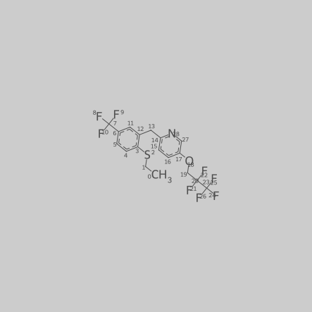 CCSc1ccc(C(F)(F)F)cc1Cc1ccc(OCC(F)(F)C(F)(F)F)cn1